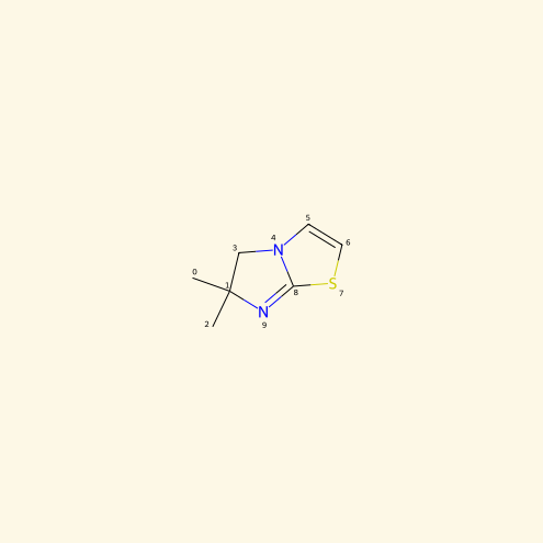 CC1(C)CN2C=CSC2=N1